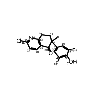 CC1(c2cc(F)c(O)c(F)c2)CCc2nc(Cl)ccc2C1=O